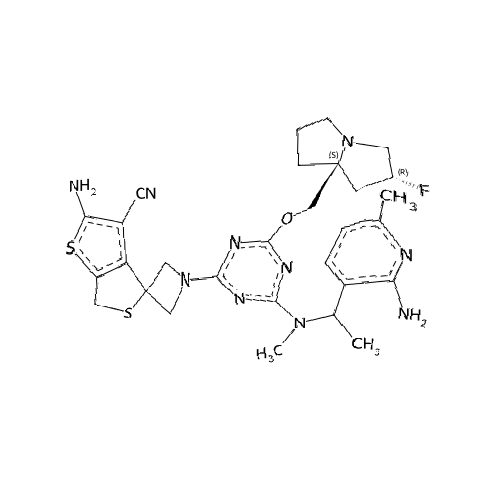 Cc1ccc(C(C)N(C)c2nc(OC[C@@]34CCCN3C[C@H](F)C4)nc(N3CC4(C3)SCc3sc(N)c(C#N)c34)n2)c(N)n1